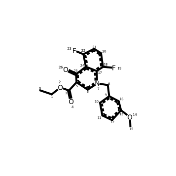 CCOC(=O)c1cn(Cc2cccc(OC)c2)c2c(F)ccc(F)c2c1=O